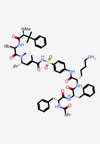 CCCC(=O)N[C@H](Cc1ccccc1)C(=O)N[C@@H](Cc1ccccc1)C(=O)N[C@@H](CCCCN)C(=O)Nc1ccc(S(=O)(=O)NC(=O)/C(C)=C/[C@H](C(C)C)N(C)C(=O)C(NC(=O)[C@@H](NC)C(C)(C)c2ccccc2)C(C)(C)C)cc1